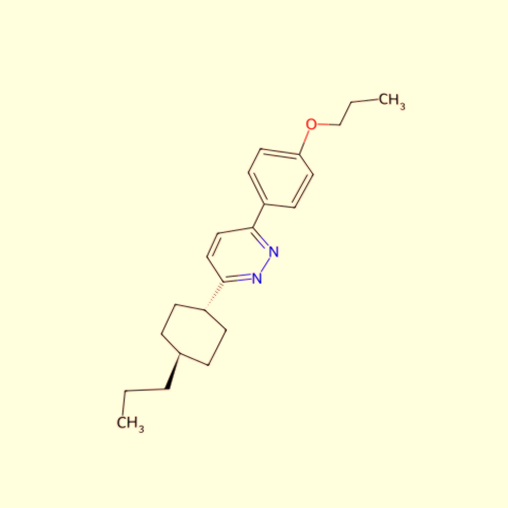 CCCOc1ccc(-c2ccc([C@H]3CC[C@H](CCC)CC3)nn2)cc1